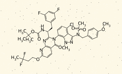 COc1ccc(CN(c2nn(C)c3c(-n4c([C@H](Cc5cc(F)cc(F)c5)NC(=O)OC(C)(C)C)nc5nc(OCCC(C)(F)F)ccc5c4=O)ccc(Cl)c23)S(C)(=O)=O)cc1